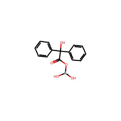 O=C(OB(O)O)C(O)(c1ccccc1)c1ccccc1